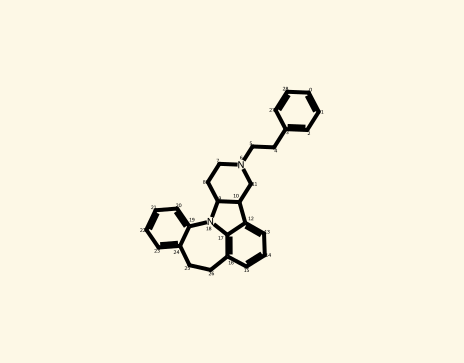 c1ccc(CCN2CCC3C(C2)c2cccc4c2N3c2ccccc2CC4)cc1